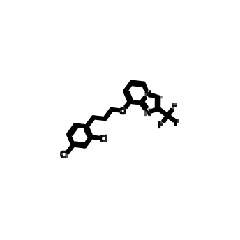 FC(F)(F)c1[c]n2cccc(OCCCc3ccc(Cl)cc3Cl)c2n1